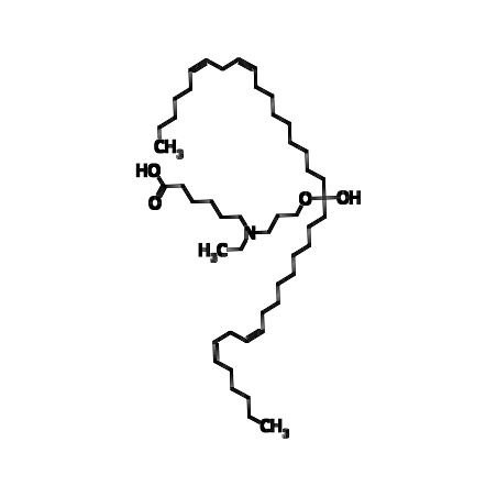 CCCCC/C=C\C/C=C\CCCCCCCCC(O)(CCCCCCCC/C=C\C/C=C\CCCCC)OCCCN(CC)CCCCCC(=O)O